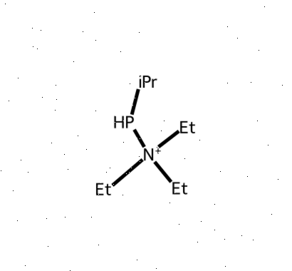 CC[N+](CC)(CC)PC(C)C